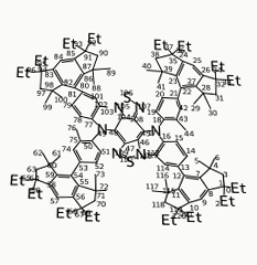 CCC1(CC)CC(C)(C)c2c1cc1c(c2-c2ccc(N(c3ccc(-c4c5c(cc6c4C(C)(C)CC6(CC)CC)C(CC)(CC)CC5(C)C)cc3C)c3c4c(c(N(c5ccc(-c6c7c(cc8c6C(C)(C)CC8(CC)CC)C(CC)(CC)CC7(C)C)cc5C)c5ccc(-c6c7c(cc8c6C(C)(C)CC8(CC)CC)C(CC)(CC)CC7(C)C)cc5C)c5nsnc35)N=S=N4)c(C)c2)C(C)(C)CC1(CC)CC